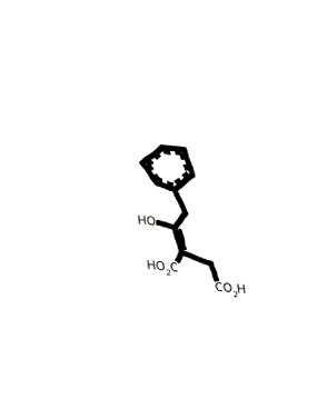 O=C(O)CC(C(=O)O)=C(O)Cc1ccccc1